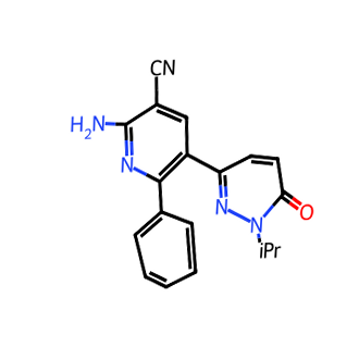 CC(C)n1nc(-c2cc(C#N)c(N)nc2-c2ccccc2)ccc1=O